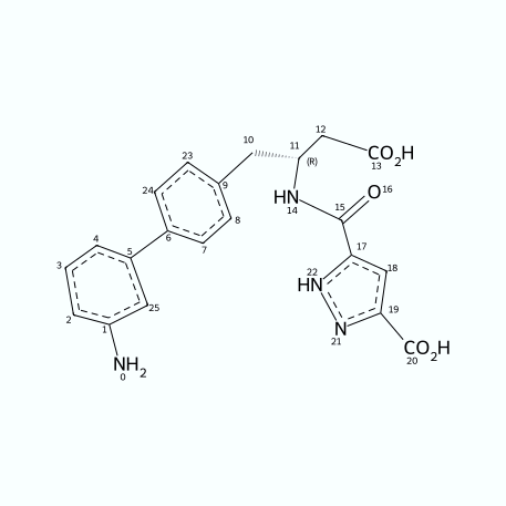 Nc1cccc(-c2ccc(C[C@H](CC(=O)O)NC(=O)c3cc(C(=O)O)n[nH]3)cc2)c1